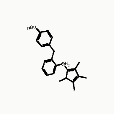 CCCCc1ccc(Cc2ccccc2[SiH2]C2=C(C)C(C)=C(C)C2C)cc1